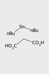 CCC[CH2][Sn][CH2]CCC.O=C(O)CC(=O)O